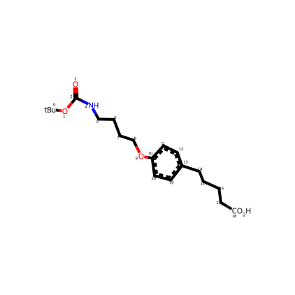 CC(C)(C)OC(=O)NCCCCOc1ccc(CCCCC(=O)O)cc1